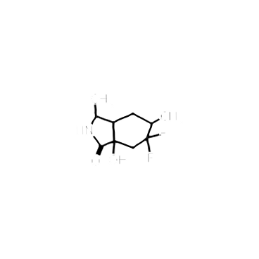 CC1NC(=O)C2(O)CC(F)(F)C(C)CC12